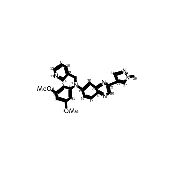 COc1cc(OC)cc(N(Cc2cccnc2)c2ccc3ncc(-c4cnn(C)c4)nc3c2)c1